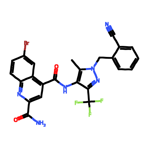 Cc1c(NC(=O)c2cc(C(N)=O)nc3ccc(Br)cc23)c(C(F)(F)F)nn1Cc1ccccc1C#N